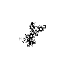 CC(=O)N([C@H]1C[C@@H]2C[C@H]([C@@H]1C)C2(C)C)N(C(=N)N)c1ccc2c(=O)n(CCc3ccc(Cl)cc3Cl)c(N3CCN(C(C)C)CC3)nc2c1